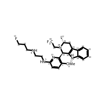 COc1ccc(NCCNCCCF)nc1[C@@H]1c2[nH]c3ccccc3c2C[C@@H](I)N1CC(F)(F)F